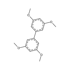 COc1cc(OC)cc(-c2cc(OC)cc(OC)c2)c1